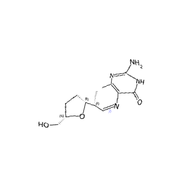 Cc1nc(N)[nH]c(=O)c1/N=C\[C@@H](C)[C@H]1CC[C@@H](CO)O1